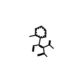 C=CC(=C(C(=C)C)C(=C)C)c1ccccc1C